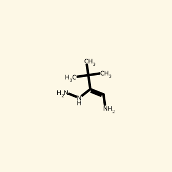 CC(C)(C)/C(=C/N)NN